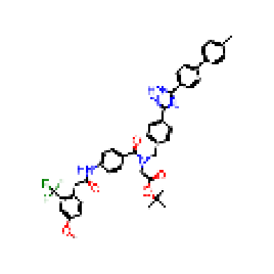 COc1ccc(CC(=O)Nc2ccc(C(=O)N(CC(=O)OC(C)(C)C)Cc3ccc(-c4n[nH]c(-c5ccc(-c6ccc(C)cc6)cc5)n4)cc3)cc2)c(C(F)(F)F)c1